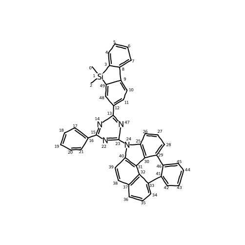 C[Si]1(C)c2ccccc2-c2ccc(-c3nc(-c4ccccc4)nc(-n4c5cccc6c5c5c7c(cccc7ccc54)-c4ccccc4-6)n3)cc21